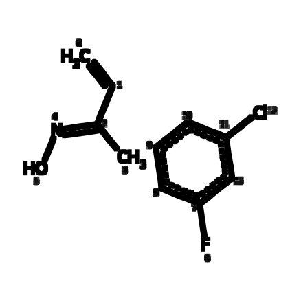 C=CC(C)=NO.Fc1cccc(Cl)c1